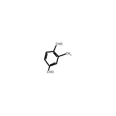 Cc1cc(C=O)ccc1C=O